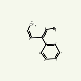 C/C=C\C(=C\Br)c1ccccc1